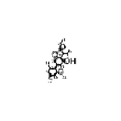 CCON=C(CC)C1=C(O)CC(c2c(C)cc(C)cc2OC)CC1=O